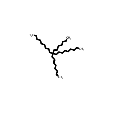 C=CCCCC=CCC(C=CCCCCC)(CCCCCCCCC)CCCCCCCCC